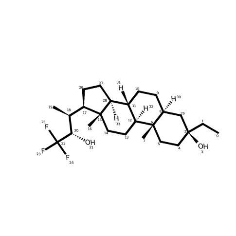 CC[C@]1(O)CC[C@@]2(C)[C@@H](CC[C@@H]3[C@@H]2CC[C@]2(C)[C@@H]([C@H](C)[C@H](O)C(F)(F)F)CC[C@@H]32)C1